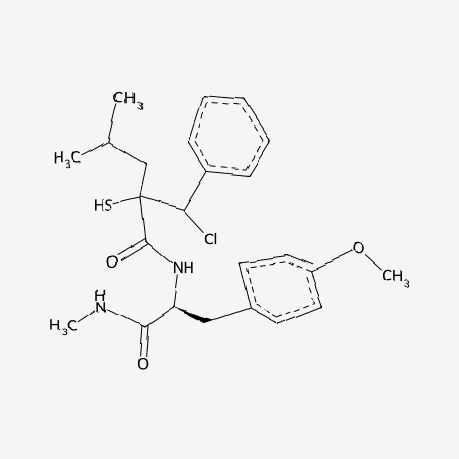 CNC(=O)[C@H](Cc1ccc(OC)cc1)NC(=O)C(S)(CC(C)C)C(Cl)c1ccccc1